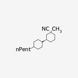 CCCCCC1CCC([C@@H]2CCC[C@@](C)(C#N)C2)CC1